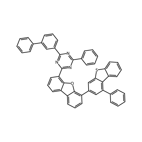 c1ccc(-c2cccc(-c3nc(-c4ccccc4)nc(-c4cccc5c4oc4c(-c6cc(-c7ccccc7)c7c(c6)sc6ccccc67)cccc45)n3)c2)cc1